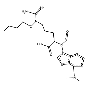 CCCCON(CCC[C@H](C(=O)O)N(C=O)n1cnc2c(N(C)C)ncnc21)C(=N)N